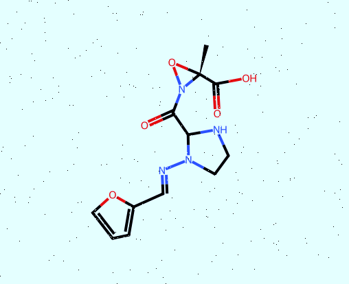 C[C@]1(C(=O)O)ON1C(=O)C1NCCN1N=Cc1ccco1